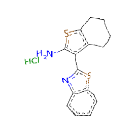 Cl.Nc1sc2c(c1-c1nc3ccccc3s1)CCCC2